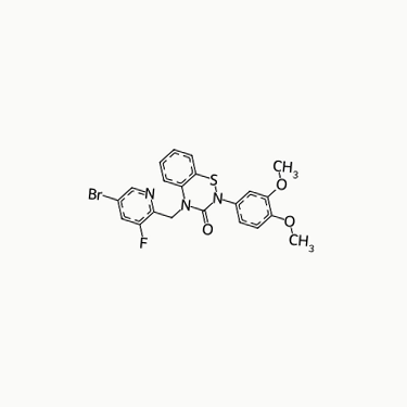 COc1ccc(N2Sc3ccccc3N(Cc3ncc(Br)cc3F)C2=O)cc1OC